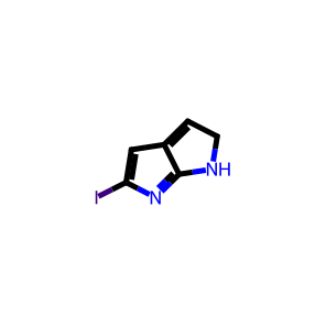 IC1=CC2=CCNC2=N1